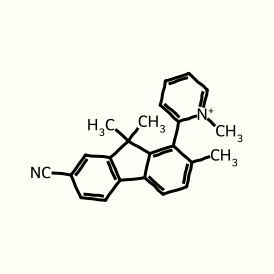 Cc1ccc2c(c1-c1cccc[n+]1C)C(C)(C)c1cc(C#N)ccc1-2